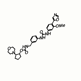 COc1cc(NC(=O)Nc2cccc(CNC(=O)OC3CCC[C@H]3N3CCOCC3)c2)ccc1-c1cnco1